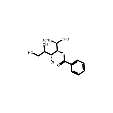 CC(=O)N[C@@H](C=O)[C@@H](OC(=O)c1ccccc1)[C@H](O)[C@H](O)CO